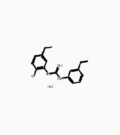 CCc1cccc(NC(=N)Nc2cc(CC)ccc2Cl)c1.Cl